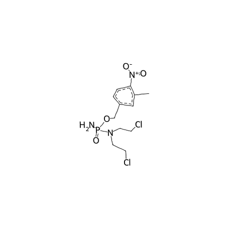 Cc1cc(COP(N)(=O)N(CCCl)CCCl)ccc1[N+](=O)[O-]